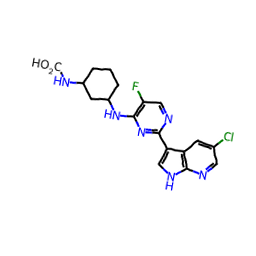 O=C(O)NC1CCCC(Nc2nc(-c3c[nH]c4ncc(Cl)cc34)ncc2F)C1